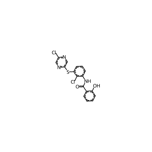 O=C(Nc1cccc(Sc2cnc(Cl)cn2)c1Cl)c1ccccc1O